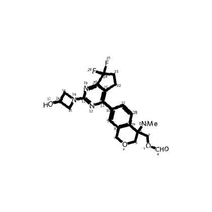 CNC1(COC=O)COCc2cc(-c3nc(N4CC(O)C4)nc4c3CCC4(F)F)ccc21